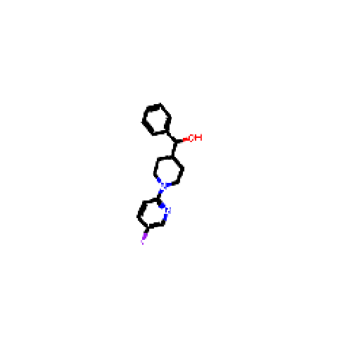 OC(c1ccccc1)C1CCN(c2ccc(I)cn2)CC1